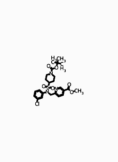 COC(=O)c1ccc(CN(c2cccc(Cl)c2)S(=O)(=O)C2CCN(C(=O)OC(C)(C)C)CC2)nc1